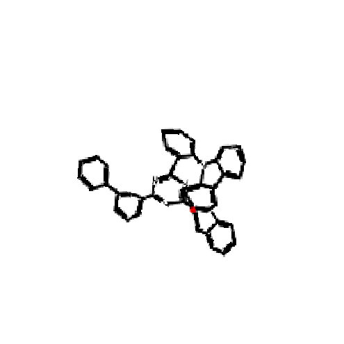 c1ccc(-c2cccc(-c3nc(-c4cc5ccccc5o4)nc(-c4ccccc4-n4c5ccccc5c5ccccc54)n3)c2)cc1